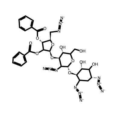 [N-]=[N+]=NC[C@H]1O[C@@H](O[C@@H]2C(N=[N+]=[N-])[C@@H](O[C@@H]3C(N=[N+]=[N-])C[C@@H](N=[N+]=[N-])C(O)[C@H]3O)OC(CO)[C@H]2O)C(OC(=O)c2ccccc2)[C@@H]1OC(=O)c1ccccc1